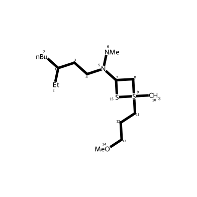 CCCCC(CC)CCN(NC)C1CS(C)(CCCOC)S1